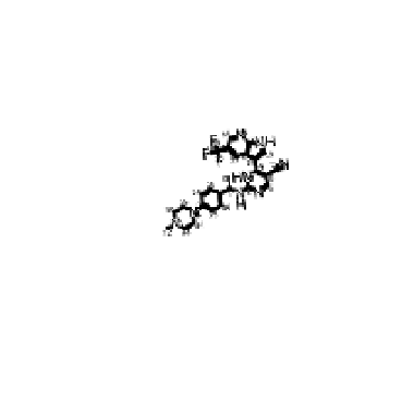 C[C@@H](NC1N=CC(C#N)=C(c2c[nH]c3ncc(C(F)(F)F)cc23)N1)c1ccc(N2CCN(C)CC2)cc1